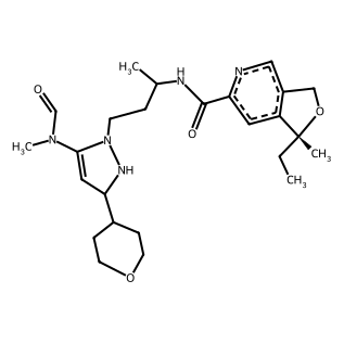 CC[C@@]1(C)OCc2cnc(C(=O)NC(C)CCN3NC(C4CCOCC4)C=C3N(C)C=O)cc21